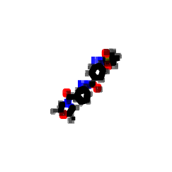 C[C@@H]1CN(C(=O)c2cccc(NC(=O)[C@H]3CC[C@H](NS(=O)(=O)C(C)(C)C)CC3)c2)C[C@H](C)O1